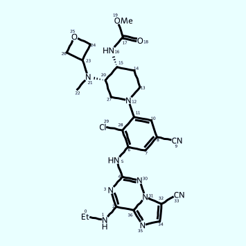 CCNc1nc(Nc2cc(C#N)cc(N3CC[C@@H](NC(=O)OC)[C@@H](N(C)C4COC4)C3)c2Cl)nn2c(C#N)cnc12